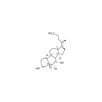 CC[C@H]1[C@@H](O)C2[C@@H]3CC[C@H]([C@H](C)CCC(=O)O)C3(C)CC[C@@H]2[C@]2(C)CC[C@@H](O)C[C@@H]12